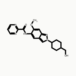 COc1cc2nn(C3CCC(CO)CC3)cc2cc1NC(=O)c1ncccn1